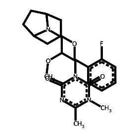 COC(CN1C2CCC1CC(OCc1ccccc1F)C2)Cn1c(=O)nc(C)n(C)c1=O